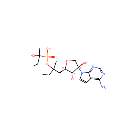 CCC(C)(C[C@H]1OC[C@](O)(n2ccc3c(N)ncnc32)[C@@H]1O)OP(=O)(O)C(C)(O)CC